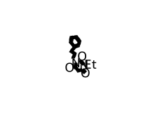 CCN1C(=O)CC(=O)N(CCCc2ccccc2)C1=O